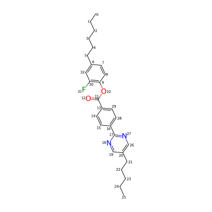 CCCCCCc1ccc(OC(=O)c2ccc(-c3ncc(CCCCC)cn3)cc2)c(F)c1